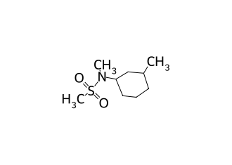 CC1CCCC(N(C)S(C)(=O)=O)C1